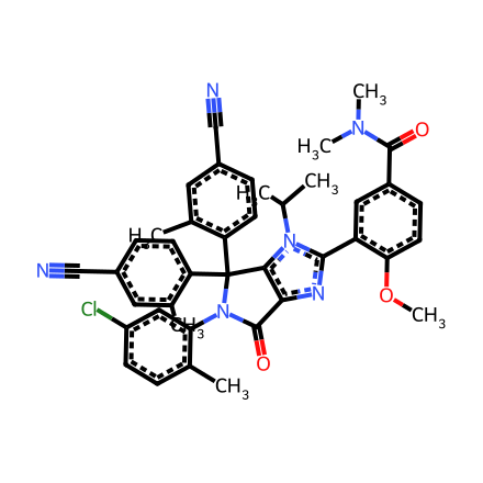 COc1ccc(C(=O)N(C)C)cc1-c1nc2c(n1C(C)C)C(c1ccc(C#N)cc1C)(c1ccc(C#N)cc1C)N(c1cc(Cl)ccc1C)C2=O